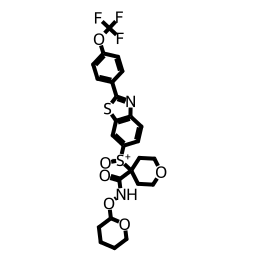 O=C(NOC1CCCCO1)C1([S+]([O-])c2ccc3nc(-c4ccc(OC(F)(F)F)cc4)sc3c2)CCOCC1